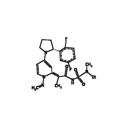 C=NN1C=CC(N2CCC[C@@H]2c2cc(F)ccc2F)=C/C1=C(/C)C(=O)NS(=O)(=O)N(C)CC